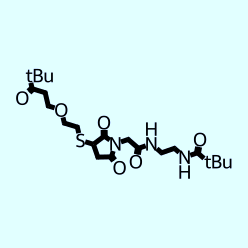 CC(C)(C)C(=O)CCOCCSC1CC(=O)N(CC(=O)NCCNC(=O)C(C)(C)C)C1=O